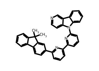 CC1(C)c2ccccc2-c2ccc(-c3cccc(-c4cccc(-n5c6ccccc6c6cnccc65)n4)n3)cc21